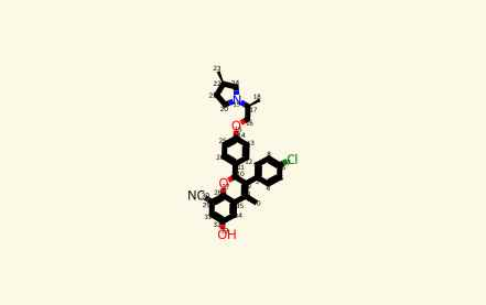 CC1=C(c2ccc(Cl)cc2)C(c2ccc(OC[C@H](C)N3CC[C@@H](C)C3)cc2)Oc2c(C#N)cc(O)cc21